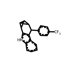 FC(F)(F)c1ccc(C2c3c([nH]c4ccccc34)C3C=CC2C3)cc1